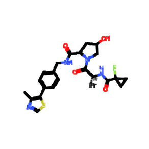 Cc1ncsc1-c1ccc(CNC(=O)C2CC(O)CN2C(=O)[C@H](NC(=O)C2(F)CC2)C(C)C)cc1